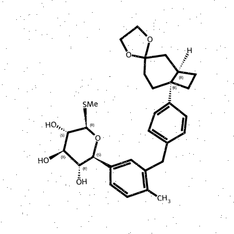 CS[C@H]1O[C@@H](c2ccc(C)c(Cc3ccc([C@@]45CC[C@@H]4CC4(CC5)OCCO4)cc3)c2)[C@H](O)[C@@H](O)[C@@H]1O